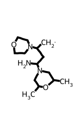 [CH2]C(CC(N)N1CC(C)OC(C)C1)N1CCOCC1